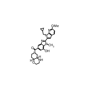 COc1ccc2cc(-c3nc4cc(C(=O)N5CC[C@H]6OCCN[C@H]6C5)cc(O)c4n3C)n(CC3CC3)c2n1